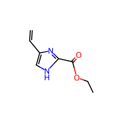 C=Cc1c[nH]c(C(=O)OCC)n1